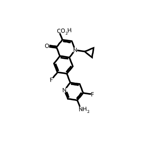 Nc1cnc(-c2cc3c(cc2F)c(=O)c(C(=O)O)cn3C2CC2)cc1F